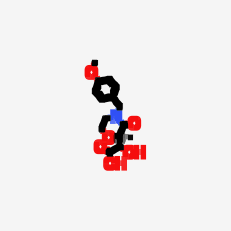 COc1ccc(CN2CCO[C@](C)(C(O)C(=O)O)C2=O)cc1